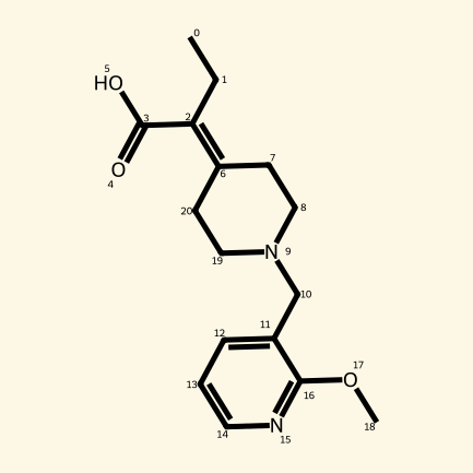 CCC(C(=O)O)=C1CCN(Cc2cccnc2OC)CC1